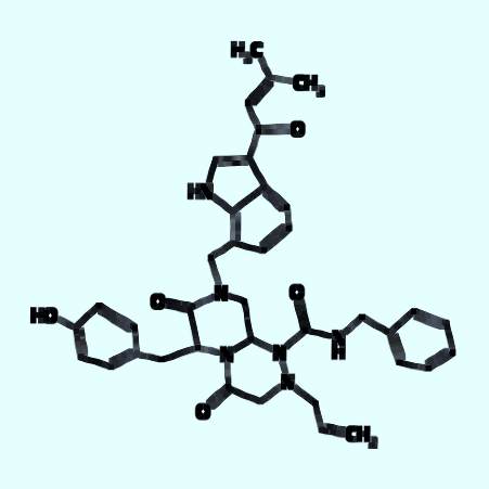 C=CCN1CC(=O)N2C(Cc3ccc(O)cc3)C(=O)N(Cc3cccc4c(C(=O)C=C(C)C)c[nH]c34)CC2N1C(=O)NCc1ccccc1